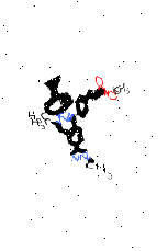 CCn1cc(-c2ccc3c(c2)C[C@@H](C)N(c2ccc(C4CC4)cc2C)[C@@H]3c2ccc(/C=C/C(=O)OC)cc2)cn1